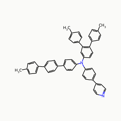 Cc1ccc(-c2ccc(-c3ccc(N(c4ccc(-c5ccncc5)cc4)c4ccc(-c5ccc(C)cc5)c(-c5ccc(C)cc5)c4)cc3)cc2)cc1